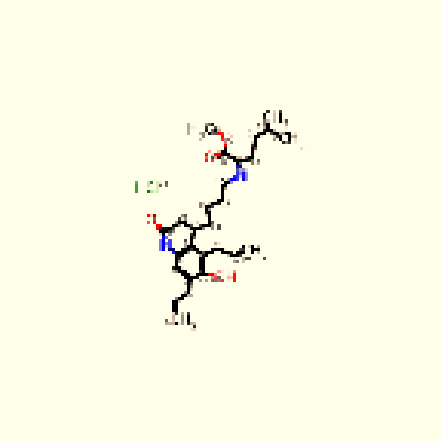 C=CCc1cc2c(c(CC=C)c1O)C(CCCCNC(CCC(C)C)C(=O)OC)CC(=O)N2.Cl